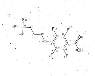 O=C(O)c1c(F)c(F)c(OCCCC(F)(F)F)c(F)c1F